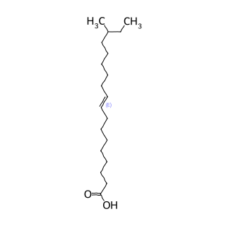 CCC(C)CCCCC/C=C/CCCCCCCC(=O)O